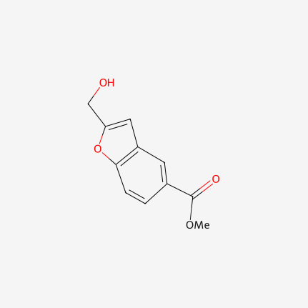 COC(=O)c1ccc2oc(CO)cc2c1